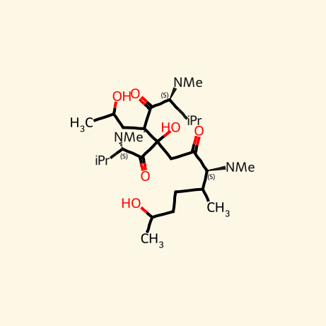 CN[C@H](C(=O)[C](CC(C)O)C(O)(CC(=O)[C@@H](NC)C(C)CCC(C)O)C(=O)[C@@H](NC)C(C)C)C(C)C